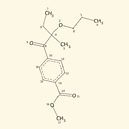 CCCOC(C)(CC)C(=O)c1ccc(C(=O)OC)cc1